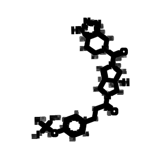 O=C(CCc1ccc(OC(F)(F)F)cc1)N1CC2=CN(C(=O)N3CCc4[nH]nnc4C3)C[C@H]2C1